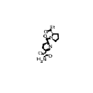 CCC(=O)[C@H]1CCCN1C(=O)c1ccc(S(N)(=O)=O)cn1